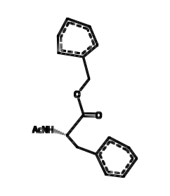 CC(=O)N[C@@H](Cc1ccccc1)C(=O)OCc1ccccc1